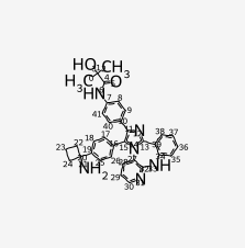 CC(C)(O)C(=O)Nc1ccc(-c2nc3n(c2-c2ccc(C4(N)CCC4)cc2)-c2cccnc2Nc2ccccc2-3)cc1